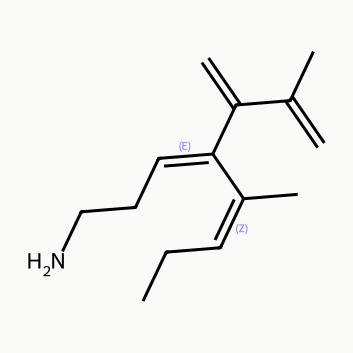 C=C(C)C(=C)C(=C/CCN)/C(C)=C\CC